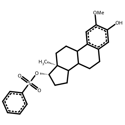 COc1cc2c(cc1O)CCC1C2CC[C@@]2(C)C1CC[C@@H]2OS(=O)(=O)c1ccccc1